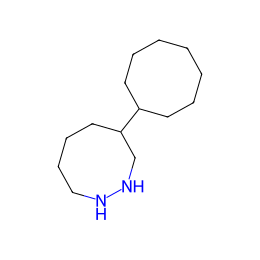 C1CCCC(C2CCCCNNC2)CCC1